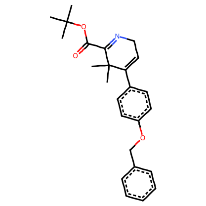 CC(C)(C)OC(=O)C1=NCC=C(c2ccc(OCc3ccccc3)cc2)C1(C)C